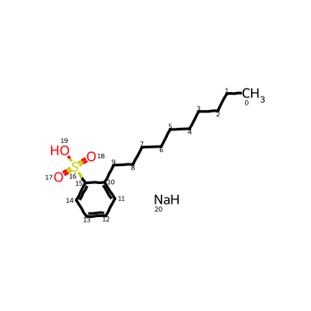 CCCCCCCCCCc1ccccc1S(=O)(=O)O.[NaH]